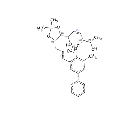 Cc1cc(-c2ccccc2)cc(/C=C/C[C@@H]2OC(C)(C)O[C@@H]2C(O)/C=C\[C@@H](C)[C@H](C)O)c1C(=O)O